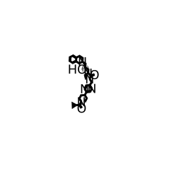 O=C(C1CC1)N1CCC(c2cnc(CN3CCN(C[C@H](O)CN4CCc5ccccc5C4)C3=O)cn2)CC1